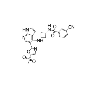 CS(=O)(=O)c1cnc(-c2cnc3[nH]ccc3c2N[C@H]2C[C@@H](NS(=O)(=O)c3cccc(C#N)c3)C2)o1